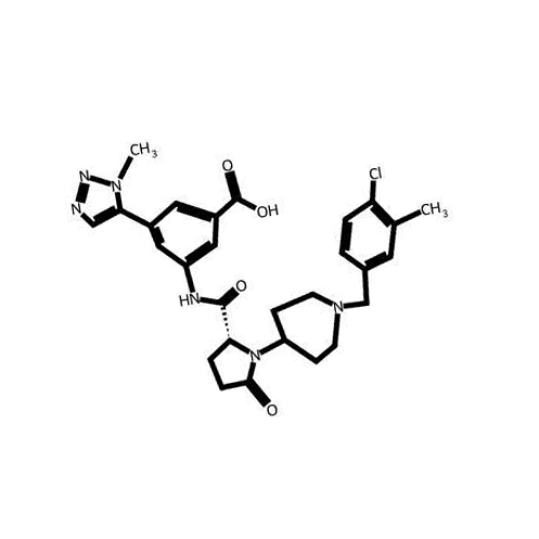 Cc1cc(CN2CCC(N3C(=O)CC[C@@H]3C(=O)Nc3cc(C(=O)O)cc(-c4cnnn4C)c3)CC2)ccc1Cl